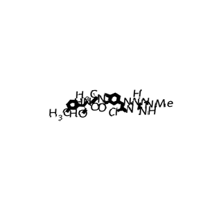 CN/N=C(\C=N)Nc1ncc(Cl)c(-c2ccc3c(c2)C(=O)N([C@@H](C)C(=O)N[C@H](CO)c2cccc(C)c2)C3)n1